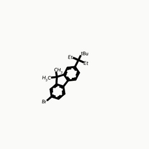 CCC(CC)(c1ccc2c(c1)C(C)(C)c1cc(Br)ccc1-2)C(C)(C)C